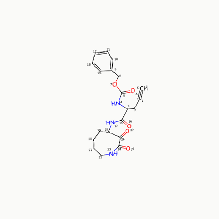 C#CCC(NC(=O)OCc1ccccc1)C(=O)NC1CCCCNC(=O)C1=O